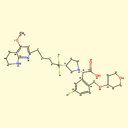 COc1cc(CCCCC(F)(F)[C@@H]2CCN([C@H](C(=O)O)c3cc(F)ccc3COC3CCOCC3)C2)nc2c1CCCN2